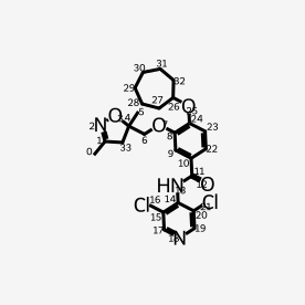 CC1=NOC(C)(COc2cc(C(=O)Nc3c(Cl)cncc3Cl)ccc2OC2CCCCCC2)C1